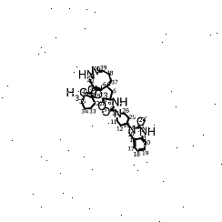 CC/C1=C/C(CC(NC(=O)N2CCC(N3Cc4ccccc4NC3=O)CC2)C(=O)OC2(C)CCCCC2)=C\C/C=N\NC1